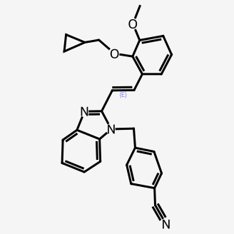 COc1cccc(/C=C/c2nc3ccccc3n2Cc2ccc(C#N)cc2)c1OCC1CC1